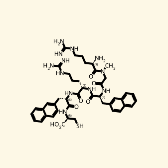 CN(CC(=O)N[C@@H](Cc1ccc2ccccc2c1)C(=O)N[C@@H](CCCNC(=N)N)C(=O)N[C@@H](Cc1ccc2ccccc2c1)C(=O)N[C@@H](CS)C(=O)O)C(=O)[C@@H](N)CCCNC(=N)N